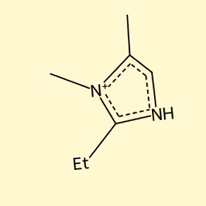 CCc1[nH]cc(C)[n+]1C